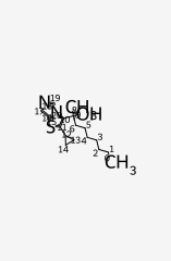 CCCCCCCC(C)(O)c1c(C2CC2)sc2cncn12